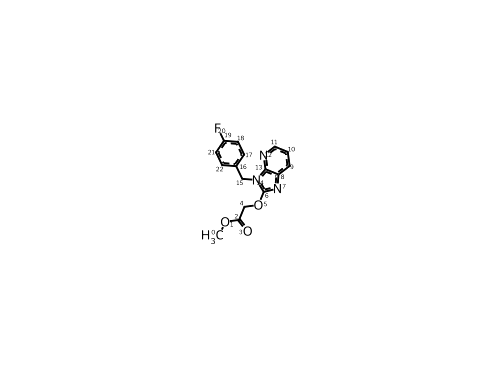 COC(=O)COc1nc2cccnc2n1Cc1ccc(F)cc1